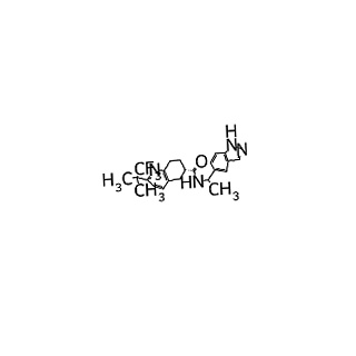 C[C@@H](NC(=O)[C@H]1CCc2nc(C(C)(C)C(F)(F)F)ccc2C1)c1ccc2[nH]ncc2c1